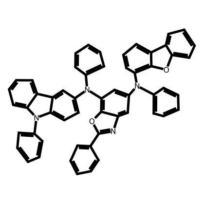 c1ccc(-c2nc3cc(N(c4ccccc4)c4cccc5c4oc4ccccc45)cc(N(c4ccccc4)c4ccc5c(c4)c4ccccc4n5-c4ccccc4)c3o2)cc1